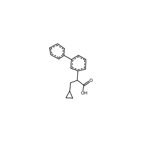 O=C(O)C(CC1CC1)c1cccc(-c2ccccc2)c1